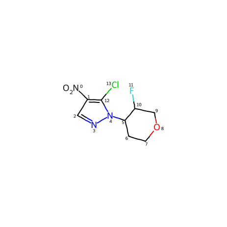 O=[N+]([O-])c1cnn(C2CCOCC2F)c1Cl